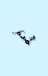 COc1ccc(-c2nc(CCSc3nc(N)cc(N)n3)c(C)s2)cc1OCCNS(C)(=O)=O